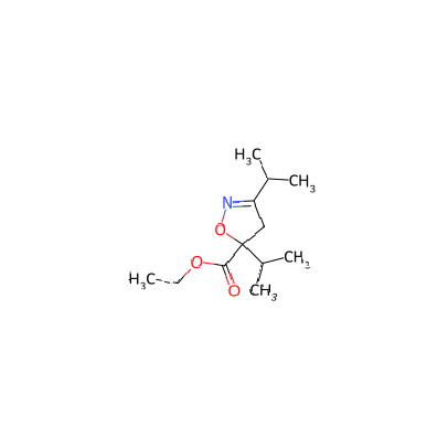 CCOC(=O)C1(C(C)C)CC(C(C)C)=NO1